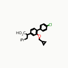 CC(C)CC(C(=O)O)c1ccc(-c2ccc(Cl)cc2)c(OCC2CC2)c1